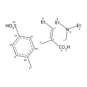 CC/C=C(\C)C(=O)O.CCN(C)CC.Cc1ccc(S(=O)(=O)O)cc1